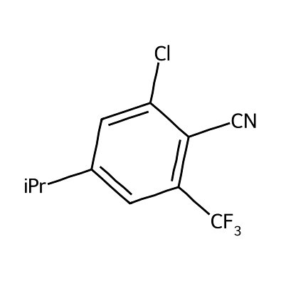 CC(C)c1cc(Cl)c(C#N)c(C(F)(F)F)c1